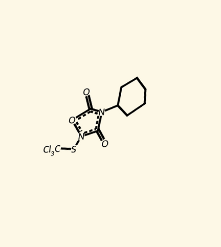 O=c1on(SC(Cl)(Cl)Cl)c(=O)n1C1CCCCC1